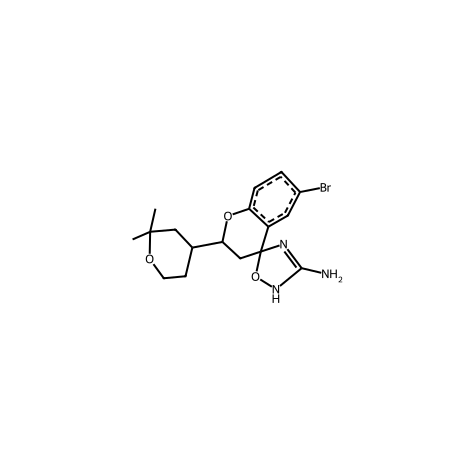 CC1(C)CC(C2CC3(N=C(N)NO3)c3cc(Br)ccc3O2)CCO1